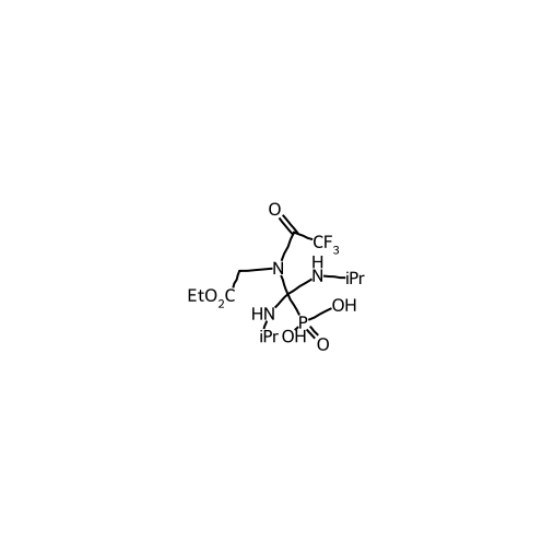 CCOC(=O)CN(C(=O)C(F)(F)F)C(NC(C)C)(NC(C)C)P(=O)(O)O